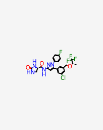 C[C@@H](OCc1cc(Cl)cc(-c2cc(NC(=O)[C@H]3CNC(=O)N3)nn2-c2ccc(F)cc2)c1)C(F)(F)F